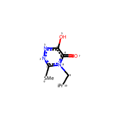 [CH2]Sc1nnc(O)c(=O)n1CC(C)C